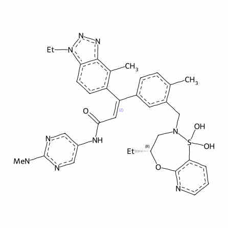 CC[C@@H]1CN(Cc2cc(/C(=C/C(=O)Nc3cnc(NC)nc3)c3ccc4c(nnn4CC)c3C)ccc2C)S(O)(O)c2cccnc2O1